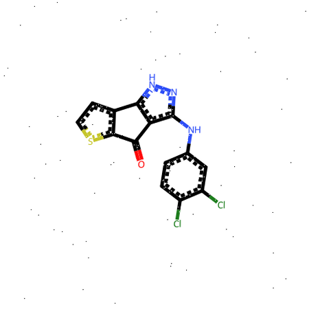 O=C1c2sccc2-c2[nH]nc(Nc3ccc(Cl)c(Cl)c3)c21